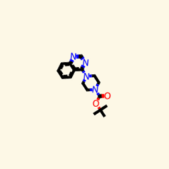 CC(C)(C)OC(=O)N1CCN(c2ncnc3ccccc23)CC1